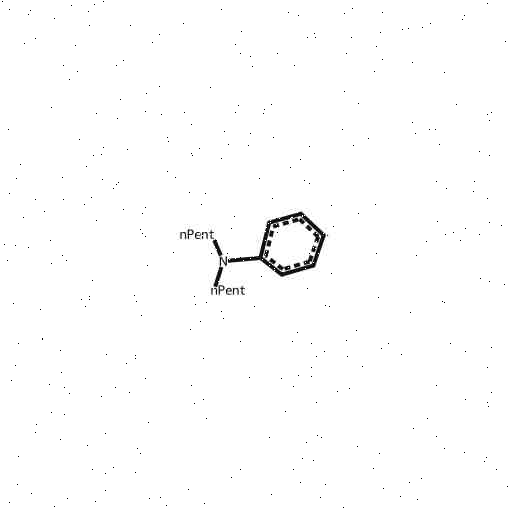 CCCCCN(CCCCC)c1cc[c]cc1